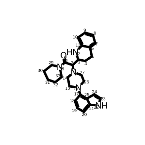 O=C(C(C1CCc2ccccc2N1)N1CCN(c2cccc3[nH]ccc23)CC1)N1CCCCC1